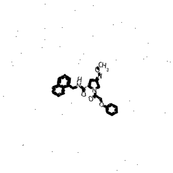 CO/N=C1\C[C@@H](C(=O)NCc2cccc3ccccc23)N(C(=O)COc2ccccc2)C1